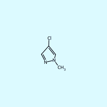 Cn1cc(Cl)cn1